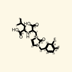 CC(C)CC(NC(Cn1ccn(Cc2ccc(F)c(F)c2)c1=O)C(=O)O)C(=O)O